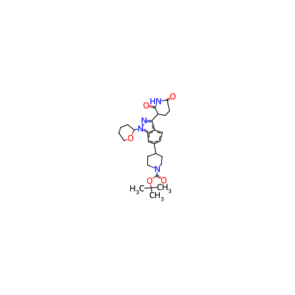 CC(C)(C)OC(=O)N1CCC(c2ccc3c(C4CCC(=O)NC4=O)nn(C4CCCCO4)c3c2)CC1